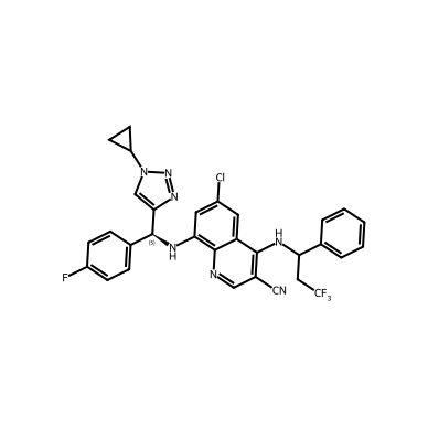 N#Cc1cnc2c(N[C@@H](c3ccc(F)cc3)c3cn(C4CC4)nn3)cc(Cl)cc2c1NC(CC(F)(F)F)c1ccccc1